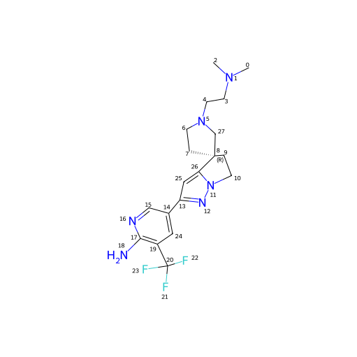 CN(C)CCN1CC[C@@]2(CCn3nc(-c4cnc(N)c(C(F)(F)F)c4)cc32)C1